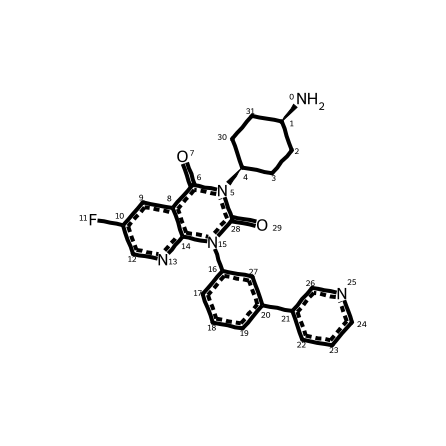 N[C@H]1CC[C@@H](n2c(=O)c3cc(F)cnc3n(-c3cccc(-c4cccnc4)c3)c2=O)CC1